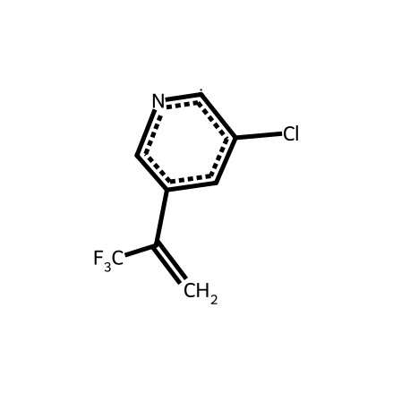 C=C(c1cn[c]c(Cl)c1)C(F)(F)F